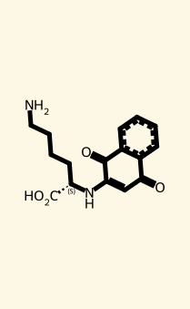 NCCCC[C@H](NC1=CC(=O)c2ccccc2C1=O)C(=O)O